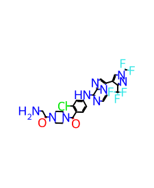 NCC(=O)N1CCN(C(=O)c2ccc(Nc3nccn4c(-c5cn(C(F)F)nc5C(F)(F)F)cnc34)cc2Cl)CC1